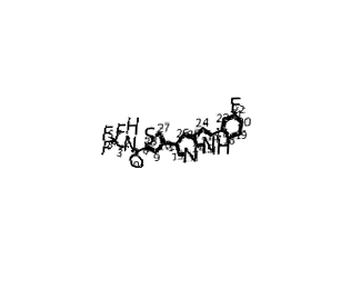 O=C(NCC(F)(F)F)c1cc(-c2cnc3[nH]c(-c4cccc(F)c4)cc3c2)cs1